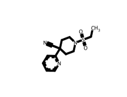 CCS(=O)(=O)N1CCC(C#N)(c2ccccn2)CC1